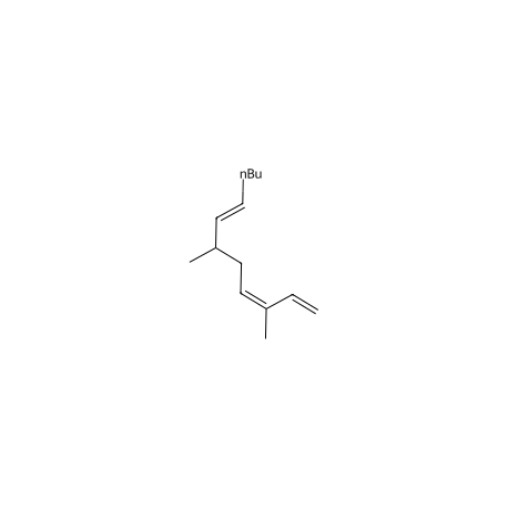 C=CC(C)=CCC(C)C=CCCCC